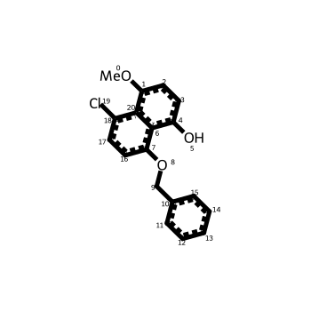 COc1ccc(O)c2c(OCc3ccccc3)ccc(Cl)c12